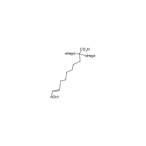 CCCCCCCCC=CCCCCCCC(CCCCCCC)(CCCCCCC)C(=O)O